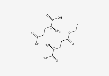 CCOC(=O)CC[C@H](N)C(=O)O.N[C@@H](CCC(=O)O)C(=O)O